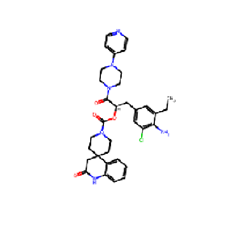 CCc1cc(C[C@@H](OC(=O)N2CCC3(CC2)CC(=O)Nc2ccccc23)C(=O)N2CCN(c3ccncc3)CC2)cc(Cl)c1N